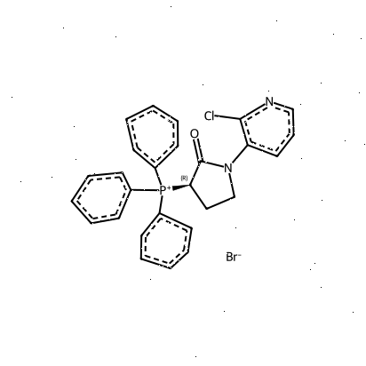 O=C1[C@H]([P+](c2ccccc2)(c2ccccc2)c2ccccc2)CCN1c1cccnc1Cl.[Br-]